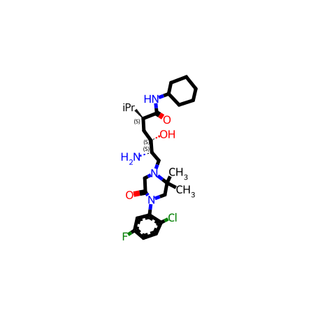 CC(C)[C@H](C[C@H](O)[C@@H](N)CN1CC(=O)N(c2cc(F)ccc2Cl)CC1(C)C)C(=O)NC1CCCCC1